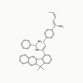 C/C=C\C=C(/N)c1ccc(C/C=C(\NC(N)c2ccccc2)c2cccc3c2-c2cc4ccccc4cc2C3(C)C)cc1